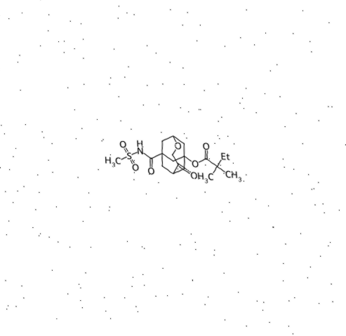 CCC(C)(C)C(=O)OC12CC3CC(C(=O)NS(C)(=O)=O)(CC(C1)C(=O)CO3)C2